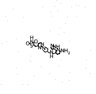 Nc1ccc(CNCC2CCN(c3nccc(C=C4SC(=O)NC4=O)n3)CC2)c(-c2ccn[nH]2)n1